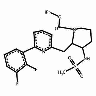 CC(C)OC(=O)N1CCCC(NS(C)(=O)=O)C1Cc1cccc(-c2cccc(F)c2F)n1